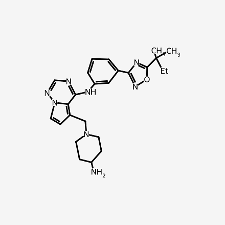 CCC(C)(C)c1nc(-c2cccc(Nc3ncnn4ccc(CN5CCC(N)CC5)c34)c2)no1